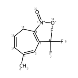 CC1=CC(C(F)(F)F)=C([N+](=O)[O-])CC=C1